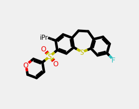 CC(C)c1cc2c(cc1S(=O)(=O)C1=COCC=C1)Sc1cc(F)ccc1CC2